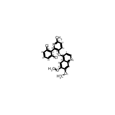 COc1cc2nccc(Oc3ccc(C)nc3-c3c(Cl)cccc3Cl)c2cc1OC